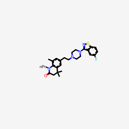 CCCN1C(=O)CC(C)(C)c2cc(CCN3CCN(c4nsc5ccc(F)cc45)CC3)cc(C)c21